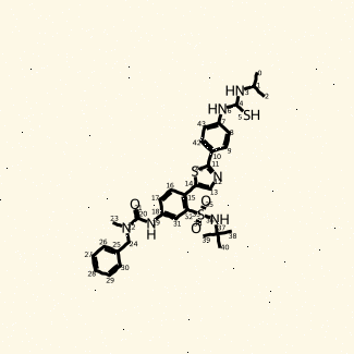 CC(C)NC(S)Nc1ccc(-c2ncc(-c3ccc(NC(=O)N(C)Cc4ccccc4)cc3S(=O)(=O)NC(C)(C)C)s2)cc1